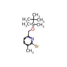 Cc1ccc(CO[Si](C)(C)C(C)(C)C)nc1Br